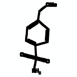 COCc1ccc(S(N)(=O)=O)cc1